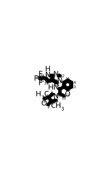 C[C@@]12COC[C@]1(C)CN(C1COc3ccccc3C1Nc1ncnc3[nH]c(C(F)(F)F)cc13)C2